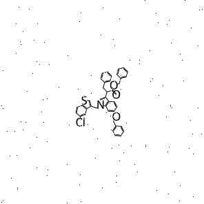 O=C(OCc1ccccc1)C(Cc1ccccc1)c1cn(Cc2csc3ccc(Cl)cc23)c2cc(OCc3ccccc3)ccc12